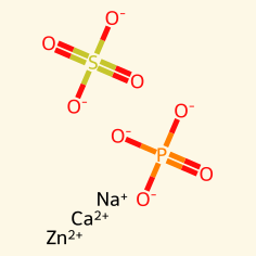 O=P([O-])([O-])[O-].O=S(=O)([O-])[O-].[Ca+2].[Na+].[Zn+2]